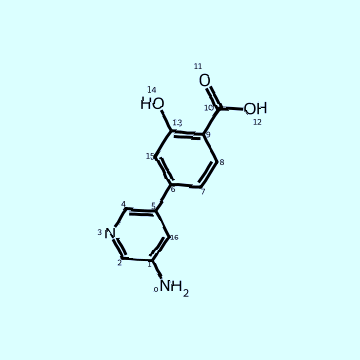 Nc1cncc(-c2ccc(C(=O)O)c(O)c2)c1